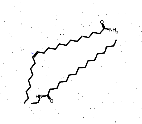 CCCCCCCC/C=C\CCCCCCCCCCCC(N)=O.CCCCCCCCCCCCCCCC(=O)NCC